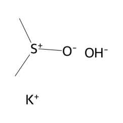 C[S+](C)[O-].[K+].[OH-]